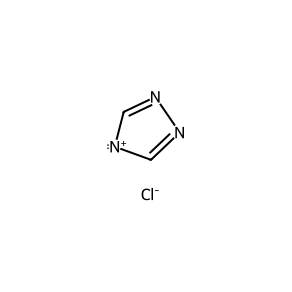 C1=NN=C[N+]1.[Cl-]